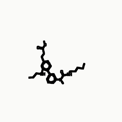 CCCCCNC(=O)N(C)c1cccc(-c2ccc(CCC(=O)OC)cc2NCCC)c1